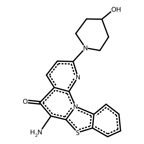 Nc1c(=O)c2ccc(N3CCC(O)CC3)nc2n2c1sc1ccccc12